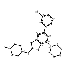 CN1CCN(CC2Cc3nc(-c4cncc(O)c4)nc(N4CCOCC4)c3S2)CC1